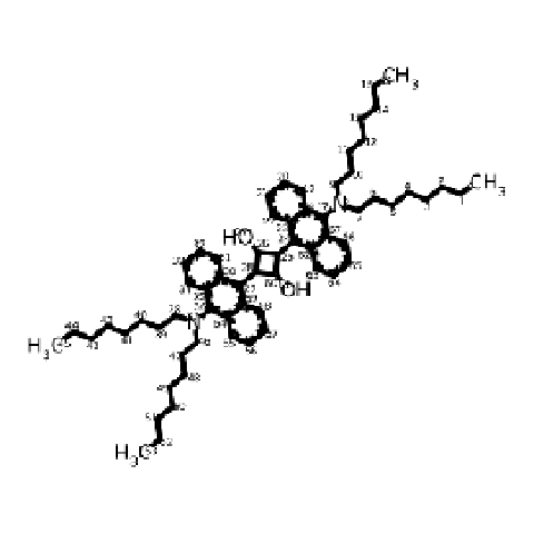 CCCCCCCCN(CCCCCCCC)c1c2ccccc2c(C2C(O)C(c3c4ccccc4c(N(CCCCCCCC)CCCCCCCC)c4ccccc34)C2O)c2ccccc12